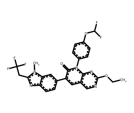 CCOc1ncc2cc(-c3ccc4nc(CC(F)(F)F)n(C)c4c3)c(=O)n(-c3ccc(OC(F)F)cc3)c2n1